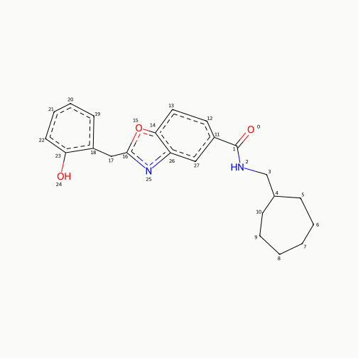 O=C(NCC1CCCCCC1)c1ccc2oc(Cc3ccccc3O)nc2c1